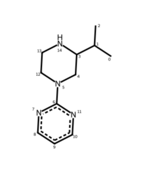 CC(C)C1CN(c2ncccn2)CCN1